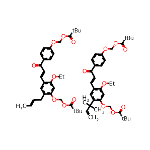 C/C=C/Cc1cc(/C=C/C(=O)c2ccc(OCOC(=O)C(C)(C)C)cc2)c(OCC)cc1OCOC(=O)C(C)(C)C.C=CC(C)(C)c1cc(/C=C/C(=O)c2ccc(OCOC(=O)C(C)(C)C)cc2)c(OCC)cc1OCOC(=O)C(C)(C)C